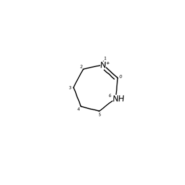 C1=[N+]CCCCN1